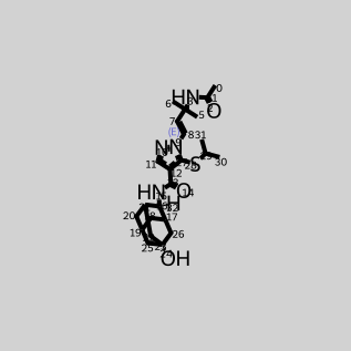 CC(=O)NC(C)(C)/C=C/n1ncc(C(=O)N[C@H]2C3CC4CC2C[C@](O)(C4)C3)c1SC(C)C